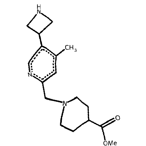 COC(=O)C1CCN(Cc2cc(C)c(C3CNC3)cn2)CC1